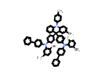 Cc1ccc(N2c3ccccc3C(c3ccc(N(c4ccc(-c5ccccc5)cc4)c4cc(C)ccc4C)cc3)(c3ccc(N(c4ccc(-c5ccccc5)cc4)c4cc(C)ccc4C)cc3)c3cc(C)ccc32)cc1